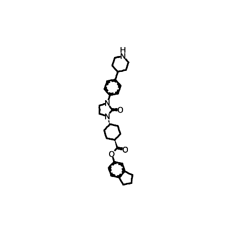 O=C1N(c2ccc(C3CCNCC3)cc2)CCN1[C@H]1CC[C@H](C(=O)Oc2ccc3c(c2)CCC3)CC1